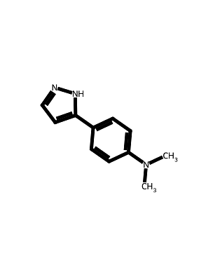 CN(C)c1ccc(-c2ccn[nH]2)cc1